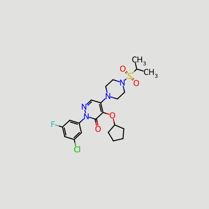 CC(C)S(=O)(=O)N1CCN(c2cnn(-c3cc(F)cc(Cl)c3)c(=O)c2OC2CCCC2)CC1